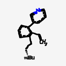 C=Cc1c(CC[C@@H](C)CC)cccc1-c1cccnc1